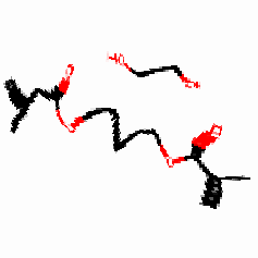 C=C(C)C(=O)OCCCOC(=O)C(=C)C.OCCO